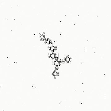 CC(C)(C)OC(=O)N1CCN(CC2CCN(c3cccc(Nc4ccc(OCc5ccccc5)nc4OCc4ccccc4)c3)CC2)CC1